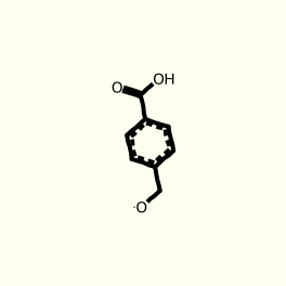 [O]Cc1ccc(C(=O)O)cc1